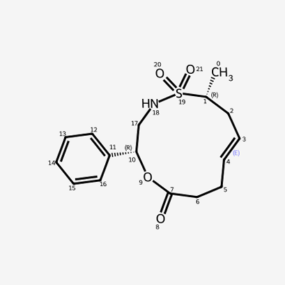 C[C@@H]1C/C=C/CCC(=O)O[C@H](c2ccccc2)CNS1(=O)=O